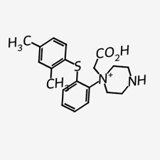 Cc1ccc(Sc2ccccc2[N+]2(CC(=O)O)CCNCC2)c(C)c1